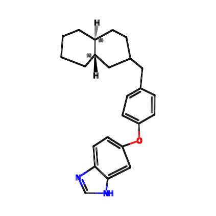 c1nc2ccc(Oc3ccc(CC4CC[C@@H]5CCCC[C@H]5C4)cc3)cc2[nH]1